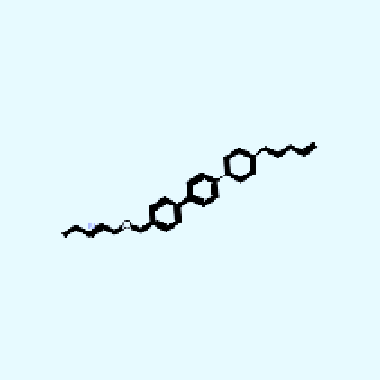 C=CCCC[C@H]1CC[C@H](c2ccc(-c3ccc(COC/C=C/CC)cc3)cc2)CC1